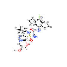 CO[C@@H]1COc2c(S(=O)(=N[Si](C)(C)C(C)(C)C)NC(=O)Nc3c4c(c(F)c5c3CCC5)CCC4)cnn2C1